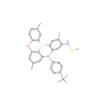 CSNc1cc2c(cc1C)B1c3cc(C)ccc3Oc3cc(C)cc(c31)N2c1ccc(C(C)(C)C)cc1